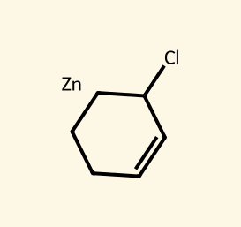 ClC1C=CCCC1.[Zn]